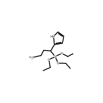 CCO[Si](OCC)(OCC)C(CCN)c1ccc[nH]1